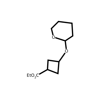 CCOC(=O)C1CC(OC2CCCCO2)C1